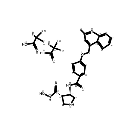 Cc1cc(COc2ccc(C(=O)N[C@H]3CNC[C@@H]3C(=O)NO)cc2)c2ccccc2n1.O=C(O)C(F)(F)F.O=C(O)C(F)(F)F